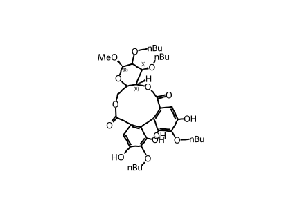 CCCCOc1c(O)cc2c(c1O)-c1c(cc(O)c(OCCCC)c1O)C(=O)O[C@@H]1C(COC2=O)O[C@@H](OC)C(OCCCC)[C@H]1OCCCC